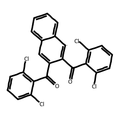 O=C(c1[c]c2ccccc2cc1C(=O)c1c(Cl)cccc1Cl)c1c(Cl)cccc1Cl